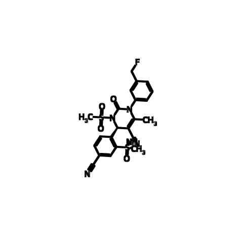 CC1=C(C#N)[C@@H](c2ccc(C#N)cc2[S@@](C)(=N)=O)N(S(C)(=O)=O)C(=O)N1c1cccc(CF)c1